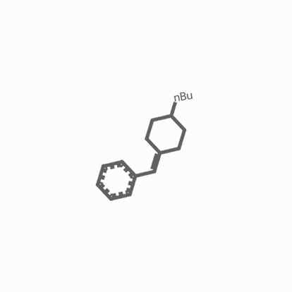 CCCCC1CCC(=Cc2ccccc2)CC1